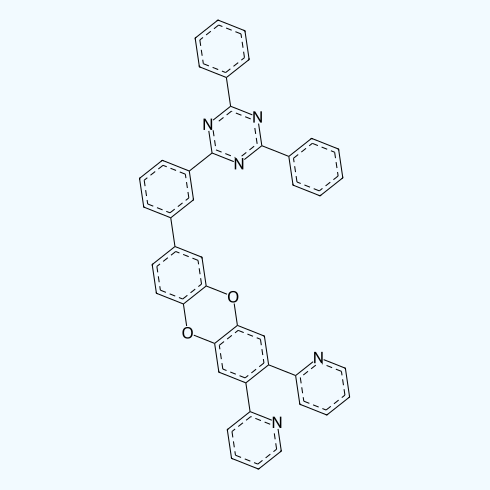 c1ccc(-c2nc(-c3ccccc3)nc(-c3cccc(-c4ccc5c(c4)Oc4cc(-c6ccccn6)c(-c6ccccn6)cc4O5)c3)n2)cc1